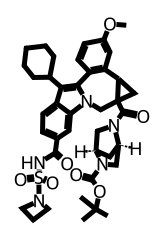 COc1ccc2c(c1)C1CC1(C(=O)N1C[C@H]3C[C@@H]1CN3C(=O)OC(C)(C)C)Cn1c-2c(C2CCCCC2)c2ccc(C(=O)NS(=O)(=O)N3CCC3)cc21